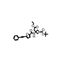 CCOC(=O)CC1(NC(=O)c2ccc(C#Cc3ccccc3)o2)CN(C(=O)OC(C)(C)C)C1